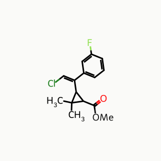 COC(=O)C1C(C(=CCl)c2cccc(F)c2)C1(C)C